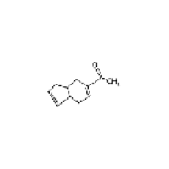 CC(=O)C1=CCC2C=CCC2C1